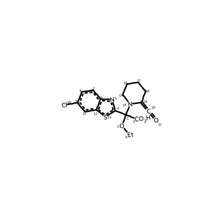 CCOC(C(=O)O)(c1nc2ccc(Cl)cc2s1)N1CCCCC1=C=O